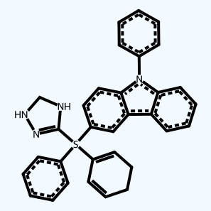 C1=CC(S(C2=NNCN2)(c2ccccc2)c2ccc3c(c2)c2ccccc2n3-c2ccccc2)=CCC1